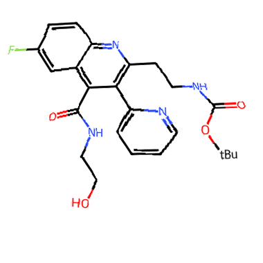 CC(C)(C)OC(=O)NCCc1nc2ccc(F)cc2c(C(=O)NCCO)c1-c1ccccn1